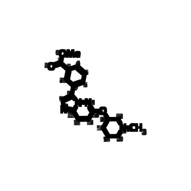 COC(=O)c1cccc(-c2cnc3ccc(OC4CCCN(C)C4)nn23)c1